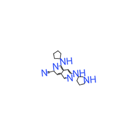 N#Cc1cc2cnc(NC3CCCNC3)cc2c(NC2CCCC2)n1